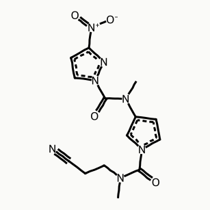 CN(CCC#N)C(=O)n1ccc(N(C)C(=O)n2ccc([N+](=O)[O-])n2)c1